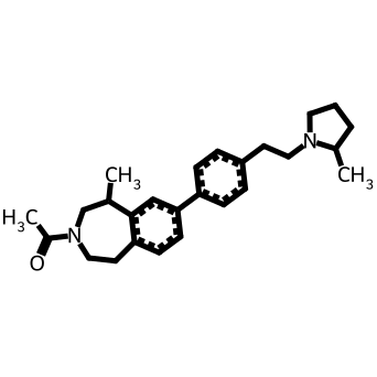 CC(=O)N1CCc2ccc(-c3ccc(CCN4CCCC4C)cc3)cc2C(C)C1